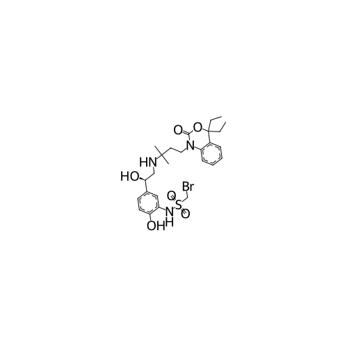 CCC1(CC)OC(=O)N(CCC(C)(C)NC[C@H](O)c2ccc(O)c(NS(=O)(=O)CBr)c2)c2ccccc21